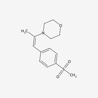 CC(=Cc1ccc(S(C)(=O)=O)cc1)N1CCOCC1